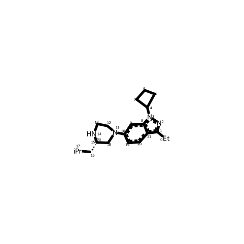 CCc1nn(C2CCC2)c2cc(N3CCN[C@@H](CC(C)C)C3)ccc12